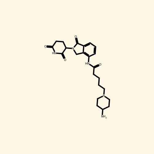 NC1CCN(CCCCC(=O)Nc2cccc3c2CN(C2CCC(=O)NC2=O)C3=O)CC1